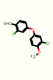 O=Cc1ccc(Oc2ccc(OC(F)(F)F)c(Cl)c2)cc1F